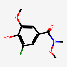 COc1cc(C(=O)N(C)OC)cc(F)c1O